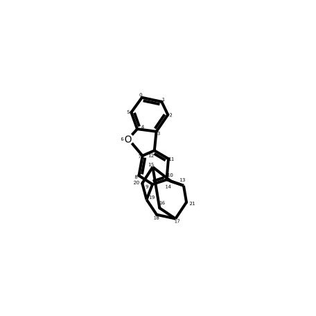 c1ccc2c(c1)oc1cc3c(cc12)C1CC2CC(CC3C2)C1